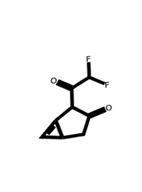 O=C1CC2C=C2C1C(=O)C(F)F